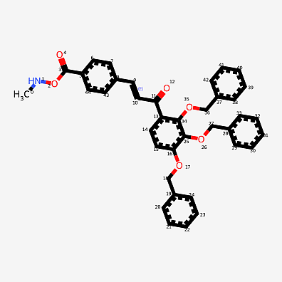 CNOC(=O)c1ccc(/C=C/C(=O)c2ccc(OCc3ccccc3)c(OCc3ccccc3)c2OCc2ccccc2)cc1